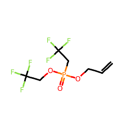 C=CCOP(=O)(CC(F)(F)F)OCC(F)(F)F